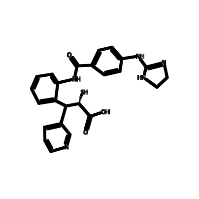 O=C(Nc1ccccc1C(c1cccnc1)[C@H](S)C(=O)O)c1ccc(NC2=NCCN2)cc1